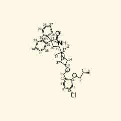 C=CCOc1cc(Cl)ccc1COC1CN(C(C)(C)CCC(C(N)=O)(c2ccccc2)c2ccccc2)C1